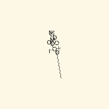 CCCCCCCCCCCCCCOc1ccc(COC(=O)N(Cc2ccc[n+](C)c2)C(=O)c2ccccc2)cc1C(C)(C)C.[I-]